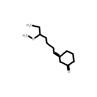 CCC(CCCC=C1CCCC(=O)C1)OC